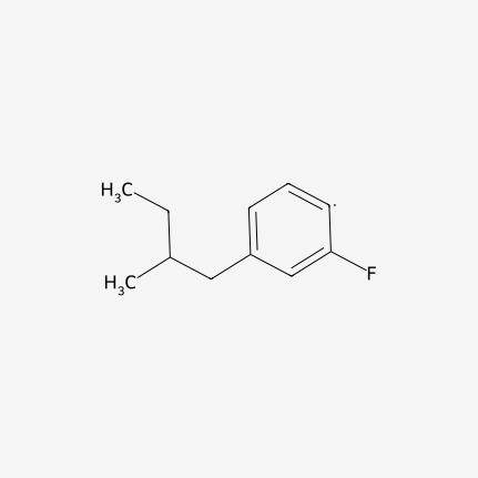 CCC(C)Cc1cc[c]c(F)c1